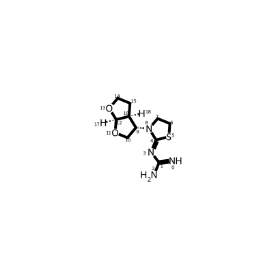 N=C(N)/N=C1\SCCN1[C@@H]1CO[C@H]2OCC[C@H]21